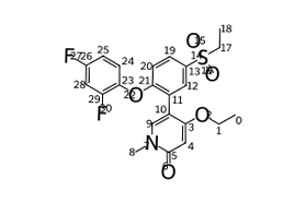 CCOc1cc(=O)n(C)cc1-c1cc(S(=O)(=O)CC)ccc1Oc1ccc(F)cc1F